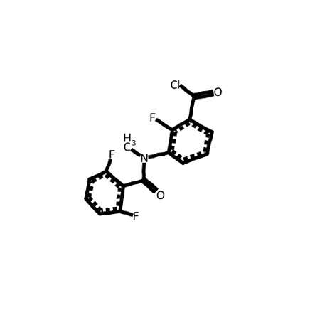 CN(C(=O)c1c(F)cccc1F)c1cccc(C(=O)Cl)c1F